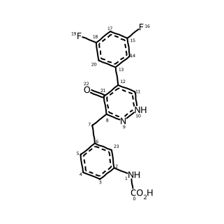 O=C(O)Nc1cccc(Cc2n[nH]cc(-c3cc(F)cc(F)c3)c2=O)c1